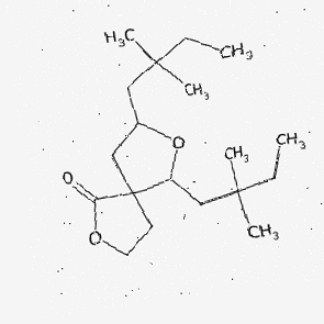 CCC(C)(C)CC1CC2(CCOC2=O)C(CC(C)(C)CC)O1